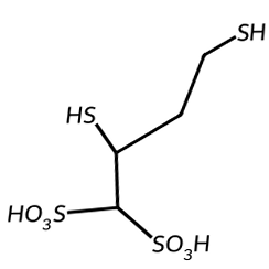 O=S(=O)(O)C(C(S)CCS)S(=O)(=O)O